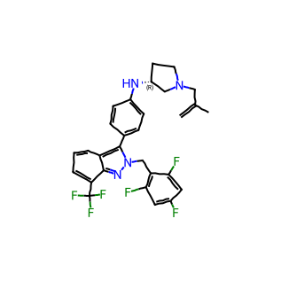 C=C(C)CN1CC[C@@H](Nc2ccc(-c3c4cccc(C(F)(F)F)c4nn3Cc3c(F)cc(F)cc3F)cc2)C1